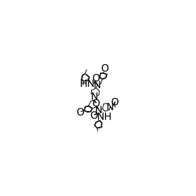 COc1ccc(CN(C(=O)Nc2cc(C)ccc2C)C2CCN(C(=O)Cc3cc(OC)ccc3CN(C(=O)Nc3ccc(C)cc3)C3CCN(C(C)=O)CC3)CC2)cc1